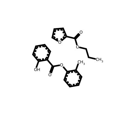 CCCOC(=O)c1ccco1.Cc1ccccc1OC(=O)c1ccccc1O